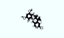 COc1cc(OC)c(F)c(N2Cc3cnc(Cl)cc3C3(CC3)C23CC3)c1F